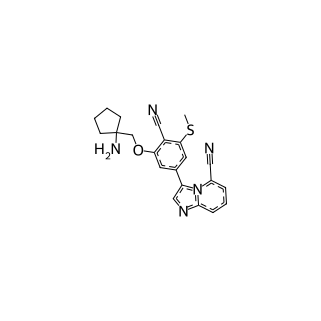 CSc1cc(-c2cnc3cccc(C#N)n23)cc(OCC2(N)CCCC2)c1C#N